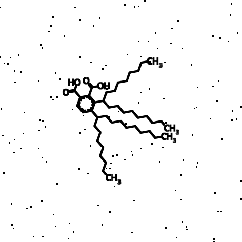 CCCCCCCCCC(CCCCCCCC)c1ccc(C(=O)O)c(C(=O)O)c1C(CCCCCCCC)CCCCCCCCC